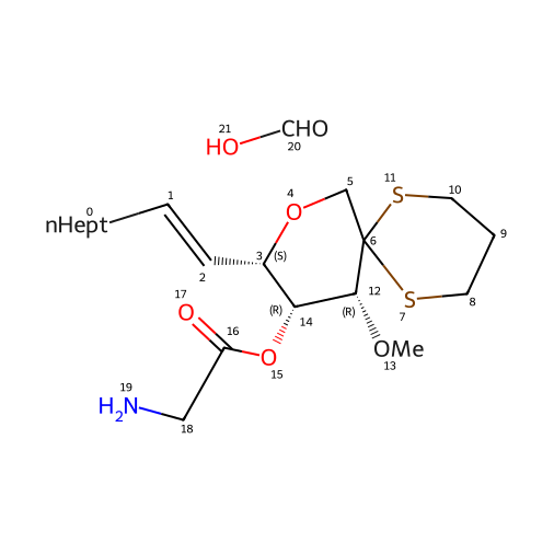 CCCCCCCC=C[C@@H]1OCC2(SCCCS2)[C@H](OC)[C@@H]1OC(=O)CN.O=CO